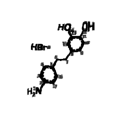 Br.Nc1ccc(CCc2ccc(O)c(O)c2)cc1